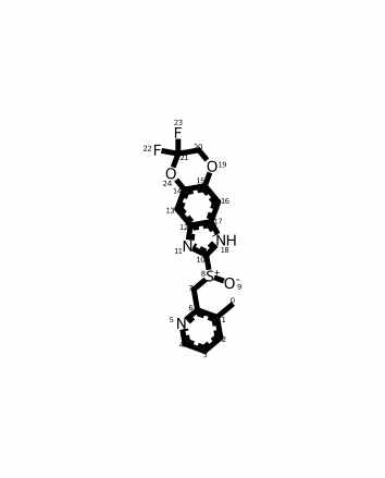 Cc1cccnc1C[S+]([O-])c1nc2cc3c(cc2[nH]1)OCC(F)(F)O3